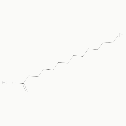 C=C(CCCCCCCCCCCCC(C)C)C(=O)O